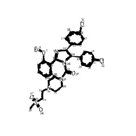 CCOc1ccccc1C1=N[C@@H](c2ccc(Cl)cc2)[C@@H](c2ccc(Cl)cc2)N1C(=O)N1CCN(CCS(C)(=O)=O)CC1